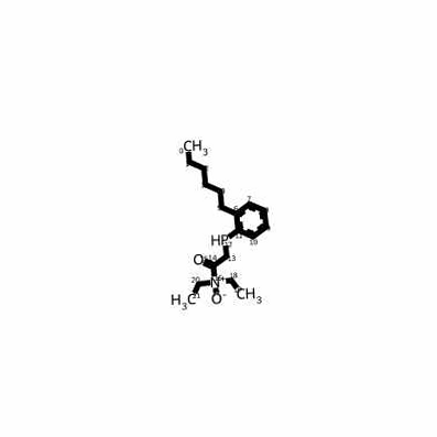 CCCCCCc1ccccc1PCC(=O)[N+]([O-])(CC)CC